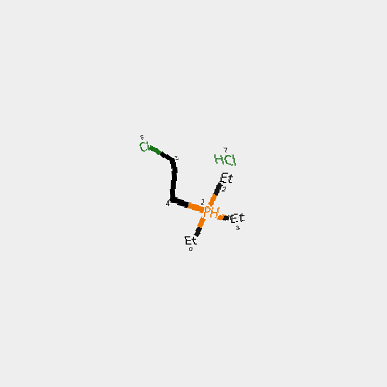 CC[PH](CC)(CC)CCCl.Cl